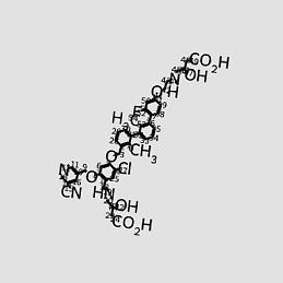 Cc1c(COc2cc(OCc3cncc(C#N)c3)c(CNC[C@@H](O)CC(=O)O)cc2Cl)cccc1-c1cccc(-c2ccc(OCCNC[C@@H](O)CC(=O)O)cc2F)c1C